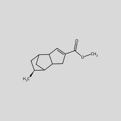 COC(=O)C1=CC2C3CC(C2C1)[C@@H](C)C3